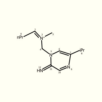 CCC/C=[N+](/C)Cn1cc(C(C)C)ncc1=N